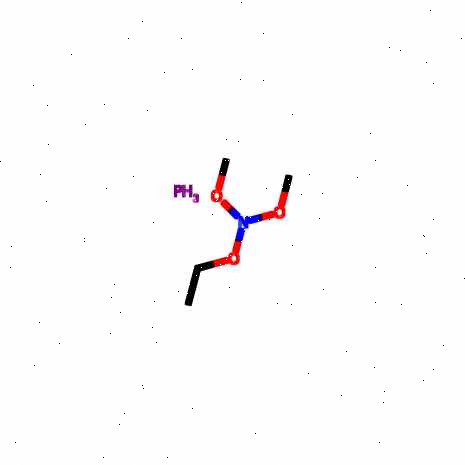 CCON(OC)OC.P